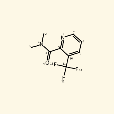 CN(C)C(=O)c1ncccc1C(F)(F)F